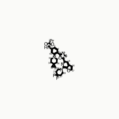 CC(C)S(=O)(=O)Nc1ccc(-c2nnc(-c3cc4ccoc4c(N4CCC(F)(F)CC4)n3)o2)c(N2CCC3(CC2)CC3)c1